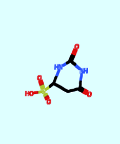 O=C1CC(S(=O)(=O)O)NC(=O)N1